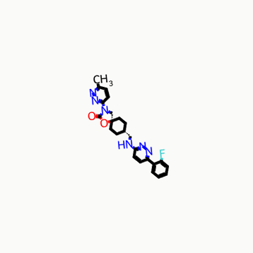 Cc1ccc(N2C[C@]3(CC[C@@H](CNc4ccc(-c5ccccc5F)nn4)CC3)OC2=O)nn1